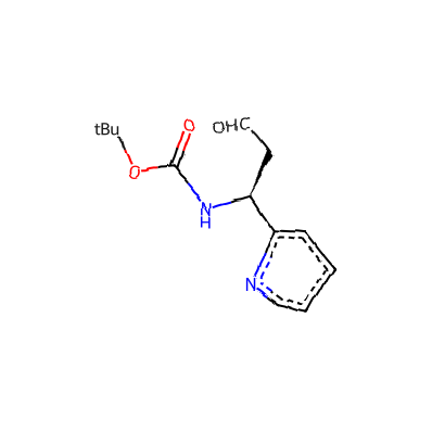 CC(C)(C)OC(=O)N[C@@H](CC=O)c1ccccn1